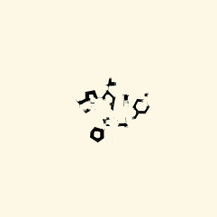 CCC(=O)O[C@H]1[C@H](c2ccc3c(N)ncnn23)O[C@](C)(CO[P@@](=O)(N[C@@H](C)C(=O)OCC2CCN(CC(F)(F)F)CC2)Oc2ccccc2)[C@H]1OC(=O)CC